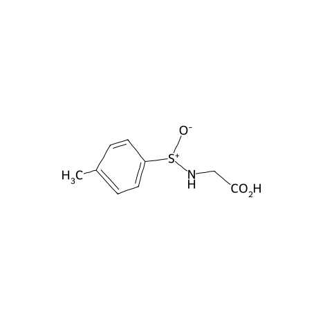 Cc1ccc([S+]([O-])NCC(=O)O)cc1